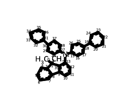 CC1(C)c2ccccc2-c2cccc(N(c3ccc(-c4ccccc4)cc3)c3ccc(-c4ccccc4)cc3)c21